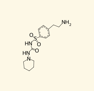 NCCc1ccc(S(=O)(=O)NC(=O)NN2CCCCC2)cc1